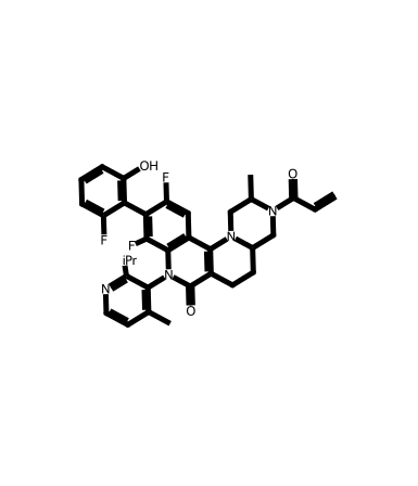 C=CC(=O)N1CC2CCc3c(c4cc(F)c(-c5c(O)cccc5F)c(F)c4n(-c4c(C)ccnc4C(C)C)c3=O)N2CC1C